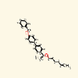 CCCCCCOC(C)c1ccc(-c2ccc(OCc3ccccc3)cc2)cc1